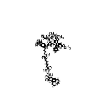 COc1ccc(C(OCC2OC(n3cc(CCCNC(=O)CCCCCCC(=O)NCCNC(=O)c4cc5cc6c7c(c5oc4=O)CCCN7CCC6)c4cc(NS(C)(=O)=O)ccc43)CC2OP(OCCC#N)N(C(C)C)C(C)C)(c2ccccc2)c2ccc(OC)cc2)cc1